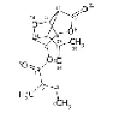 CCC(C)C(=O)OC1C2OC(=O)C3C2OC1C3C(C)=O